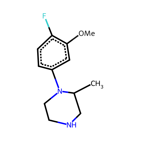 COc1cc(N2CCNCC2C)ccc1F